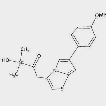 COc1ccc(-c2cc3scc(CC(=O)[N+](C)(C)O)n3c2)cc1